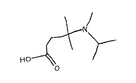 CC(C)N(C)C(C)(C)CC(=O)O